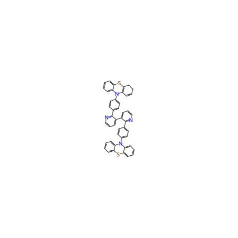 C1=CC2=C(CC1)Sc1ccccc1N2c1ccc(-c2ncccc2-c2cccnc2-c2ccc(N3c4ccccc4Sc4ccccc43)cc2)cc1